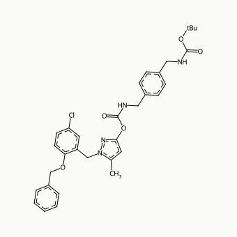 Cc1cc(OC(=O)NCc2ccc(CNC(=O)OC(C)(C)C)cc2)nn1Cc1cc(Cl)ccc1OCc1ccccc1